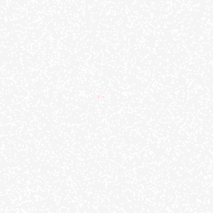 c1ccc(-c2c3ccccc3c(-c3ccc4c(c3)oc3cc(-c5ccc6c(c5)c5ccccc5c5c7ccccc7sc65)ccc34)c3ccccc23)cc1